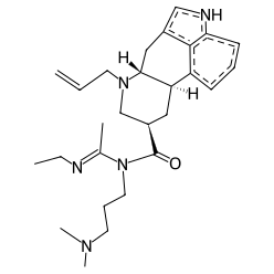 C=CCN1C[C@H](C(=O)N(CCCN(C)C)/C(C)=N/CC)C[C@@H]2c3cccc4[nH]cc(c34)C[C@H]21